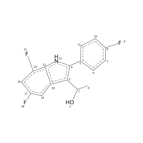 CC(O)c1c(-c2ccc(F)cc2)[nH]c2c(F)cc(F)cc12